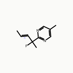 C/C=C/C(C)(F)c1ncc(C)cn1